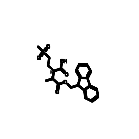 CN(C(=O)OCC1c2ccccc2-c2ccccc21)[C@@H](CCS(C)(=O)=O)C(=O)O